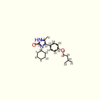 Cc1[nH]c(=O)n(C2CCCCC2)c1-c1ccc(OCCC(C)C)cc1